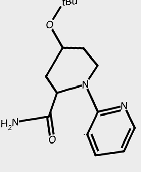 CC(C)(C)OC1CCN(c2[c]cccn2)C(C(N)=O)C1